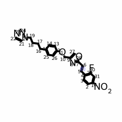 O=[N+]([O-])c1ccc(/C=C/c2nc(COc3ccc(CCCCn4ccnn4)cc3)co2)c(F)c1